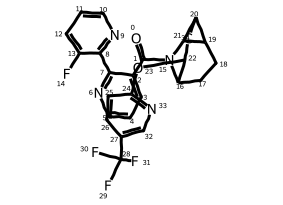 O=C(c1cccnc1-c1ncccc1F)N1C2CCC3C(CC2Oc2ccc(C(F)(F)F)cn2)C31